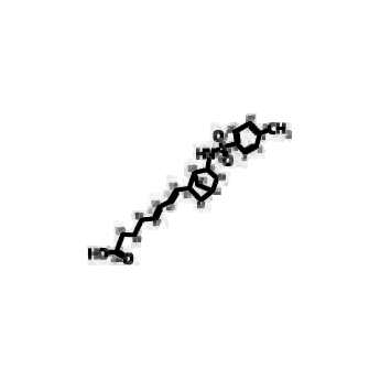 Cc1ccc(S(=O)(=O)NC2CC3CC(/C=C/C=C/CCCC(=O)O)C2C3)cc1